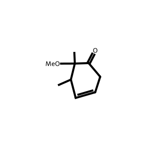 COC1(C)C(=O)CC=CC1C